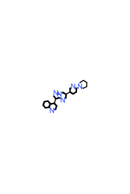 c1ccc2c(-c3cnn4cc(-c5ccc(N6CCCCC6)nc5)cnc34)ccnc2c1